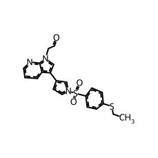 CCSc1ccc(S(=O)(=O)n2ccc(-c3cn(CC=O)c4ncccc34)c2)cc1